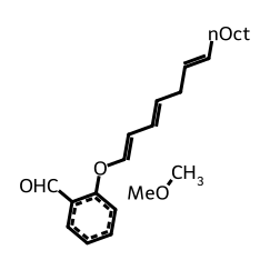 CCCCCCCCC=CCC=CC=COc1ccccc1C=O.COC